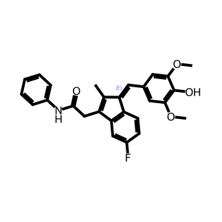 COc1cc(/C=C2/C(C)=C(CC(=O)Nc3ccccc3)c3cc(F)ccc32)cc(OC)c1O